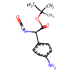 CC(C)(C)OC(=O)C(N=C=O)c1ccc(N)cc1